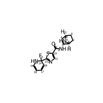 O=C(N[C@@H]1C[C@H]2CC[C@@H]1N2)c1cnc(C2(F)C=CC=CN2)s1